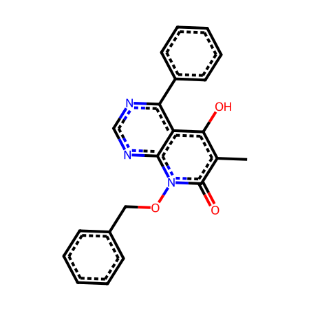 Cc1c(O)c2c(-c3ccccc3)ncnc2n(OCc2ccccc2)c1=O